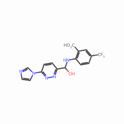 O=C(O)c1cc(C(F)(F)F)ccc1NC(O)c1ccc(-n2ccnc2)nn1